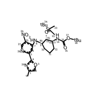 Cc1coc(-c2cc(N[C@@H]3CCC[C@H](NC(=O)OC(C)(C)C)[C@H]3O[Si](C)(C)C(C)(C)C)c([N+](=O)[O-])cn2)n1